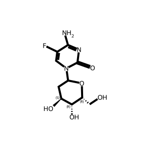 Nc1nc(=O)n(C2C[C@H](O)[C@@H](O)[C@@H](CO)O2)cc1F